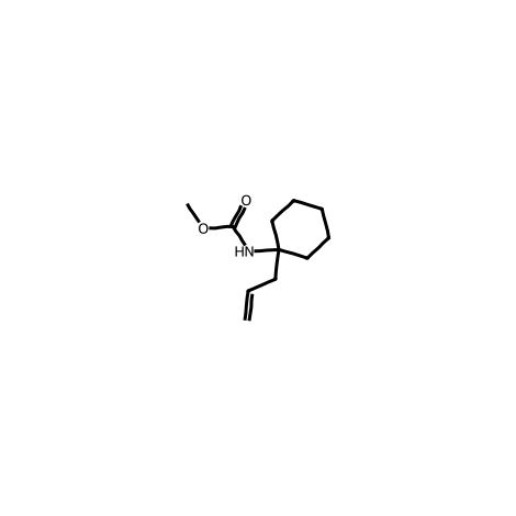 C=CCC1(NC(=O)OC)CCCCC1